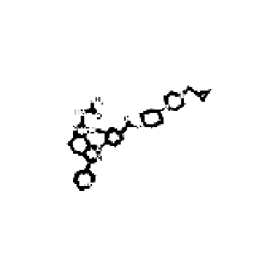 CC(=O)Nc1nc2c(s1)-c1c(c(-c3cccnc3)nn1-c1ccc(C(=O)N[C@H]3CC[C@H](N4CCN(CC5CC5)CC4)CC3)cc1Cl)CC2